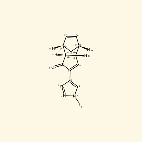 O=C1C(c2cn(F)nn2)=C[C@@H]2[C@H]1[C@@H]1C=C[C@H]2C1